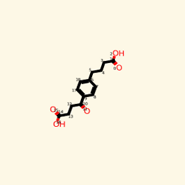 O=C(O)CCCc1ccc(C(=O)CCC(=O)O)cc1